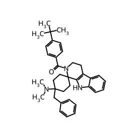 CN(C)C1(Cc2ccccc2)CCC2(CC1)c1[nH]c3ccccc3c1CCN2C(=O)c1ccc(C(C)(C)C)cc1